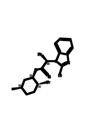 CCc1nc2ccccc2n1[C@@H](C(=O)O[C@@H]1C[C@H](C)CC[C@H]1C(C)C)C(C)C